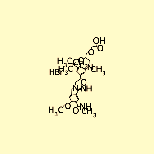 Br.CCOc1cc2c(cc1C(=O)NC)C(=N)N(CC(=O)c1cc3c(c(C(C)(C)C)c1)OC(COCC(=O)O)CN3C)C2